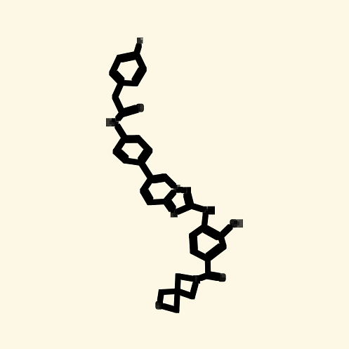 O=C(Cc1ccc(F)cc1)Nc1ccc(-c2ccc3nc(Nc4ccc(C(=O)N5CC6(COC6)C5)cc4O)nn3c2)cc1